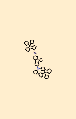 CCC1(CC)c2cc(/C=C/c3cccc4c3-c3ccccc3C4(c3ccccc3)c3ccccc3)ccc2-c2ccc(N(c3ccccc3)c3ccc4c(c3)C(c3ccccc3)(c3ccccc3)c3ccccc3-4)cc21